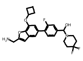 NCc1cc2cc(-c3ccc(C(O)N4CCC(F)(F)CC4)cc3F)cc(OC3CCC3)c2o1